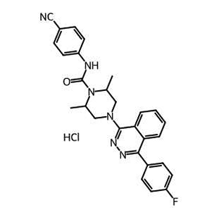 CC1CN(c2nnc(-c3ccc(F)cc3)c3ccccc23)CC(C)N1C(=O)Nc1ccc(C#N)cc1.Cl